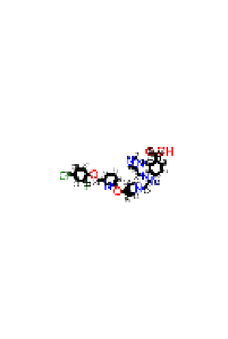 CCn1cncc1Cn1c(CN2CC3CC2=CC3Oc2cccc(COc3ccc(Cl)cc3F)n2)nc2ccc(C(=O)O)cc21